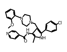 COc1ccccc1N1CCN(Cc2c(-c3ccc(Cl)cc3)[nH]c(C)c2NC(=O)c2ccncc2)CC1